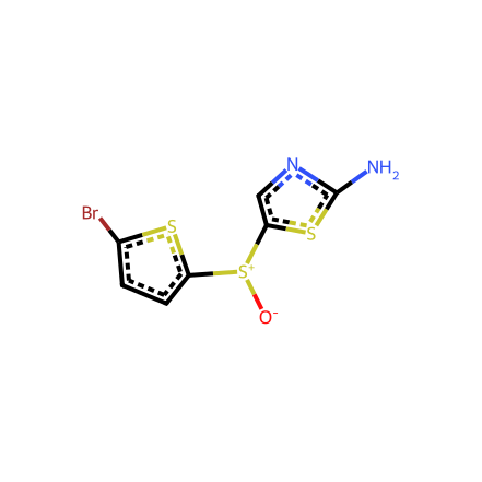 Nc1ncc([S+]([O-])c2ccc(Br)s2)s1